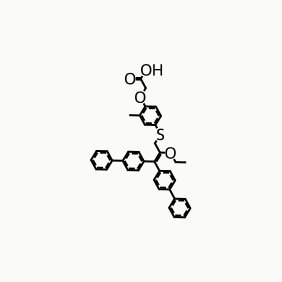 CCOC(CSc1ccc(OCC(=O)O)c(C)c1)=C(c1ccc(-c2ccccc2)cc1)c1ccc(-c2ccccc2)cc1